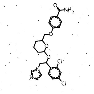 NC(=O)c1ccc(OCC2CCCC(OC(Cn3ccnc3)c3ccc(Cl)cc3Cl)O2)cc1